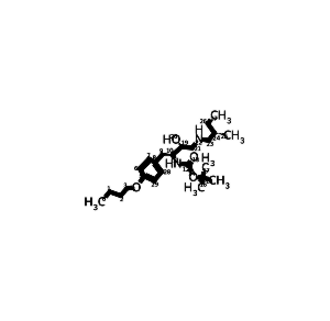 CCCCOc1ccc(C[C@H](NC(=O)OC(C)(C)C)[C@H](O)CNC[C@@H](C)CC)cc1